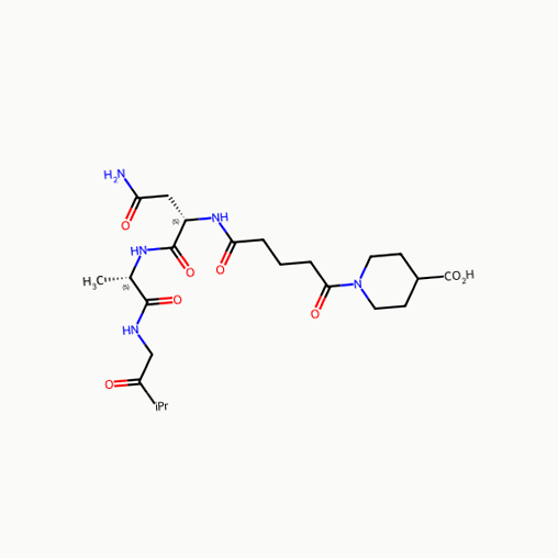 CC(C)C(=O)CNC(=O)[C@H](C)NC(=O)[C@H](CC(N)=O)NC(=O)CCCC(=O)N1CCC(C(=O)O)CC1